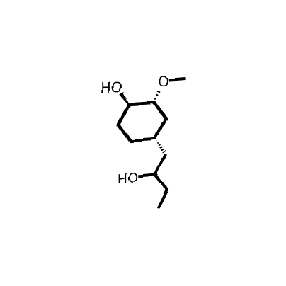 CCC(O)C[C@@H]1CC[C@@H](O)[C@H](OC)C1